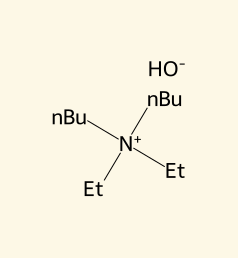 CCCC[N+](CC)(CC)CCCC.[OH-]